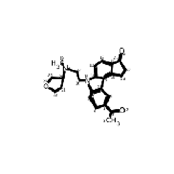 CC(=O)c1ccc2c(c1)c1c3c(ccc1n2CCN(C)C1CCOC1)C(=O)CC3